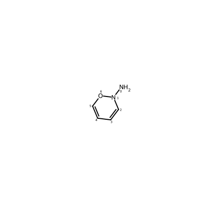 NN1C=CC=CO1